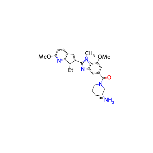 CCC1C(c2nc3cc(C(=O)N4CCC[C@@H](N)C4)cc(OC)c3n2C)=Cc2ccc(OC)nc21